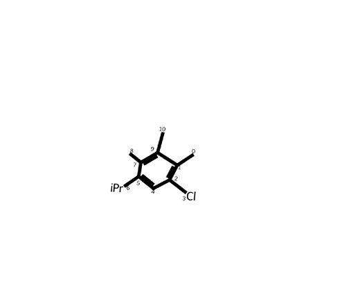 Cc1c(Cl)cc(C(C)C)c(C)c1C